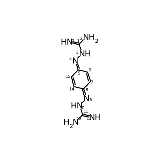 N=C(N)NN=C1C=CC(=NNC(=N)N)C=C1